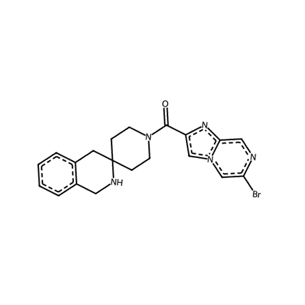 O=C(c1cn2cc(Br)ncc2n1)N1CCC2(CC1)Cc1ccccc1CN2